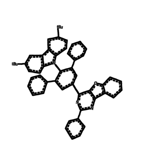 CC(C)(C)c1ccc2c(c1)c1cc(C(C)(C)C)ccc1n2-c1c(-c2ccccc2)cc(-c2nc(-c3ccccc3)nc3c2oc2ccccc23)cc1-c1ccccc1